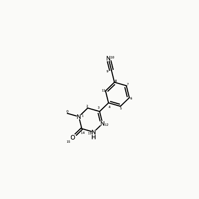 CN1CC(c2cccc(C#N)c2)=NNC1=O